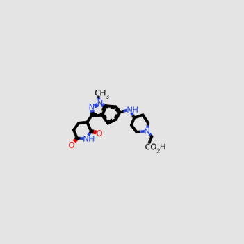 Cn1nc(C2CCC(=O)NC2=O)c2ccc(NC3CCN(CC(=O)O)CC3)cc21